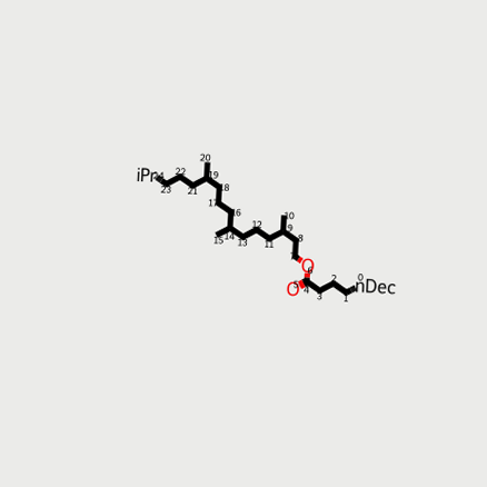 CCCCCCCCCCCCCC(=O)OCCC(C)CCCC(C)CCCC(C)CCCC(C)C